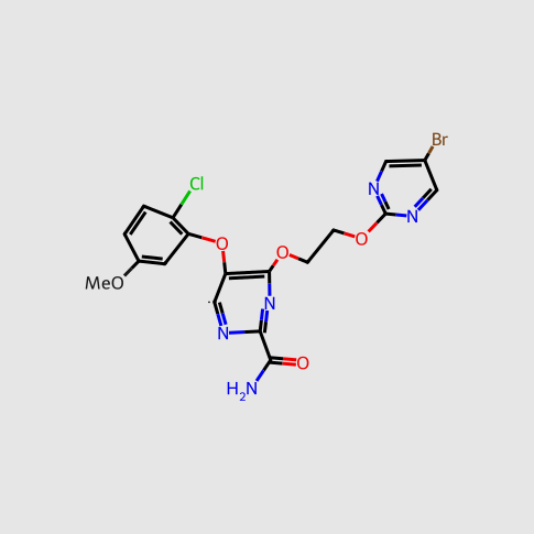 COc1ccc(Cl)c(Oc2[c]nc(C(N)=O)nc2OCCOc2ncc(Br)cn2)c1